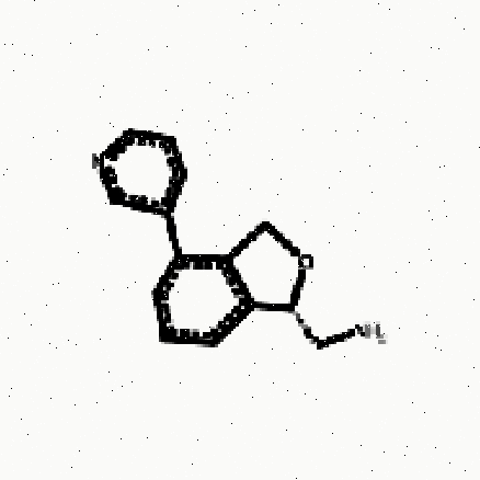 NC[C@H]1OCc2c(-c3cccnc3)cccc21